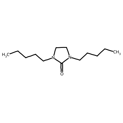 CCCCCN1CCN(CCCCC)C1=O